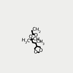 C=CC(=O)OC(C)(C)CC(C)C1COCOC1